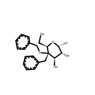 OC[C@H]1O[C@H](Cl)[C@H](O)[C@@H](O)[C@]1(Cc1ccccc1)OCc1ccccc1